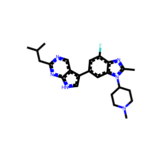 Cc1nc2c(F)cc(-c3c[nH]c4nc(CC(C)C)ncc34)cc2n1C1CCN(C)CC1